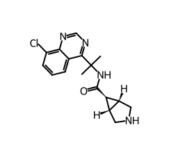 CC(C)(NC(=O)[C@H]1[C@@H]2CNC[C@@H]21)c1ncnc2c(Cl)cccc12